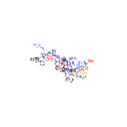 CC[C@H](C)[C@H](NC(=O)[C@@H](NC(=O)[C@H](CCC(=O)O)NC(=O)[C@H](CCC(=O)O)NC(=O)[C@H](CCCCN)NC(=O)[C@H](CS)NC(=O)[C@@H](N)CO)[C@@H](C)O)C(=O)N[C@@H](CC(C)C)C(=O)N[C@@H](CC(=O)O)C(=O)N1CCC[C@H]1C(=O)N[C@@H](Cc1ccccc1)C(=O)N[C@@H](CC(C)C)C(=O)N[C@@H](CCCCN)C(=O)N[C@@H](CC(C)C)C(=O)N1CCC[C@H]1C(=O)O